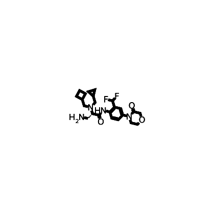 NC[C@@H](C(=O)Nc1ccc(N2CCOCC2=O)cc1C(F)F)N(CC1CCC1)CC1CC1